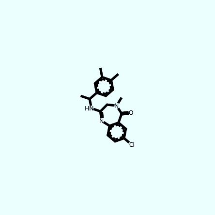 Cc1ccc(C(C)NC2=Nc3ccc(Cl)cc3C(=O)N(C)C2)cc1C